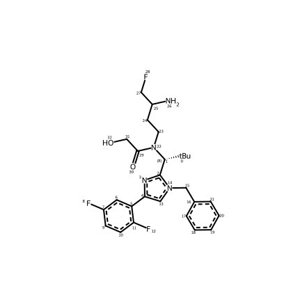 CC(C)(C)[C@H](c1nc(-c2cc(F)ccc2F)cn1Cc1ccccc1)N(CCC(N)CF)C(=O)CO